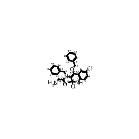 CC1(Cl)Nc2ccc(Cl)cc2C(OCc2ccccc2)=C1N(Cc1ccccc1)C(=O)CN